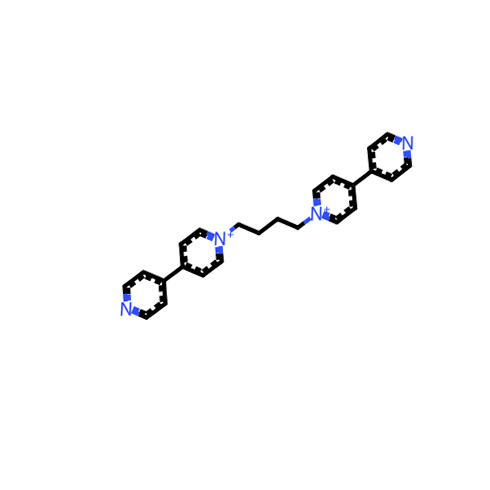 c1cc(-c2cc[n+](CCCC[n+]3ccc(-c4ccncc4)cc3)cc2)ccn1